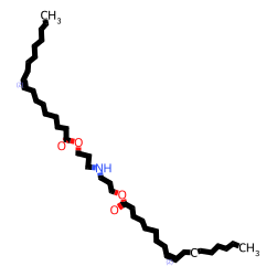 CCCCCCCC/C=C\CCCCCCCC(=O)OCCCNCCCOC(=O)CCCCCCC/C=C\CCCCCCCC